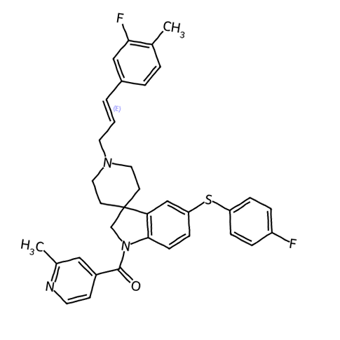 Cc1cc(C(=O)N2CC3(CCN(C/C=C/c4ccc(C)c(F)c4)CC3)c3cc(Sc4ccc(F)cc4)ccc32)ccn1